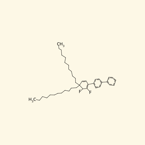 CCCCCCCCCCCCC1(CCCCCCCCCCCC)C=CC(c2ccc(-c3ccccc3)cc2)=C(F)C1F